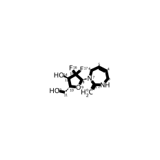 C=C1NCC=CCN1[C@@H]1O[C@H](CO)[C@@H](O)C1(F)F